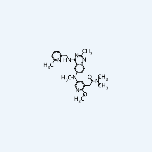 COc1ncc(N(C)c2ccc3nc(C)nc(NCc4cccc(C)n4)c3c2)cc1CC(=O)N(C)C